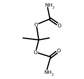 CC(C)(OC(N)=O)OC(N)=O